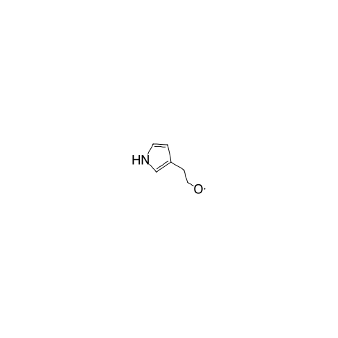 [O]CCc1cc[nH]c1